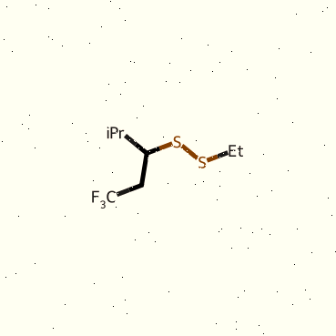 CCSSC(CC(F)(F)F)C(C)C